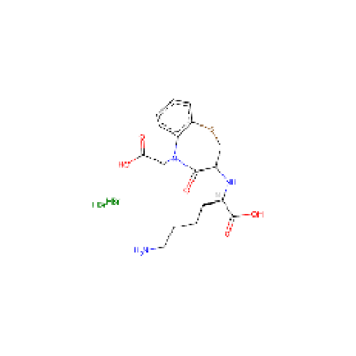 Br.Br.NCCCC[C@@H](NC1CSc2ccccc2N(CC(=O)O)C1=O)C(=O)O